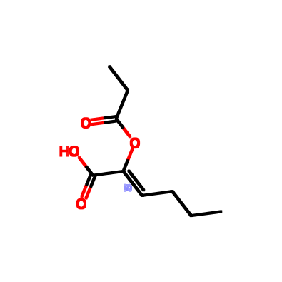 CCC/C=C(\OC(=O)CC)C(=O)O